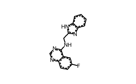 Fc1ccc2ncnc(NCc3nc4ccccc4[nH]3)c2c1